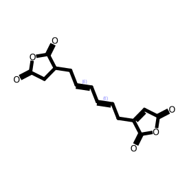 O=C1C=C(C/C=C/C=C/CC2CC(=O)OC2=O)C(=O)O1